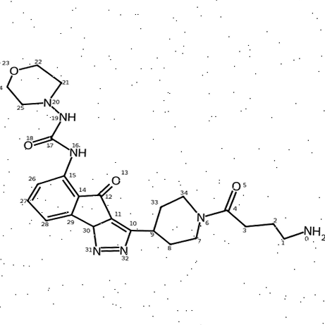 NCCCC(=O)N1CCC(C2=C3C(=O)c4c(NC(=O)NN5CCOCC5)cccc4C3N=N2)CC1